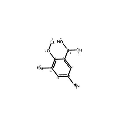 CCOc1c(B(O)O)cc(C(C)(C)C)cc1C(C)(C)C